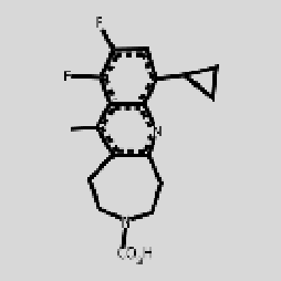 Cc1c2c(nc3c(C4CC4)cc(F)c(F)c13)CCN(C(=O)O)CC2